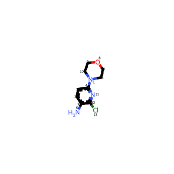 Nc1ccc(N2CCOCC2)nc1Cl